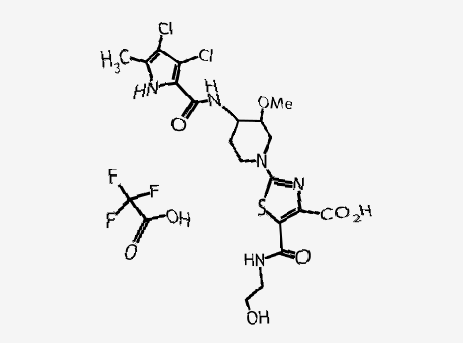 COC1CN(c2nc(C(=O)O)c(C(=O)NCCO)s2)CCC1NC(=O)c1[nH]c(C)c(Cl)c1Cl.O=C(O)C(F)(F)F